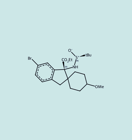 CCOC(=O)[C@]1(N[S@@+]([O-])C(C)(C)C)c2cc(Br)ccc2CC12CCC(OC)CC2